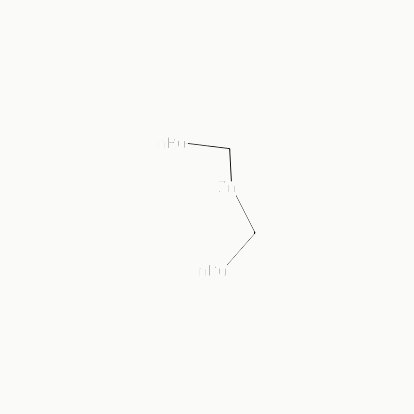 CCCC[CH2][Zn][CH2]CCCC